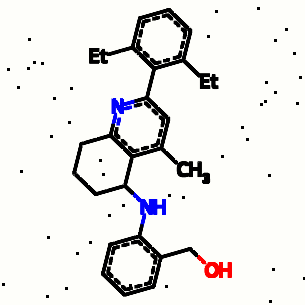 CCc1cccc(CC)c1-c1cc(C)c2c(n1)CCCC2Nc1ccccc1CO